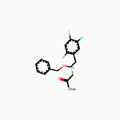 COC(=O)C[C@@H](Cc1cc(F)c(F)cc1F)OCc1ccccc1